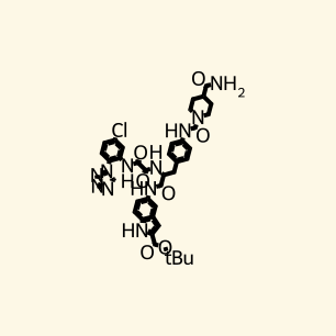 CC(C)(C)OC(=O)c1cc2cc(NC(=O)C(Cc3ccc(NC(=O)N4CCC(C(N)=O)CC4)cc3)NC(=O)C(=O)Nc3cc(Cl)ccc3-n3cnnn3)ccc2[nH]1